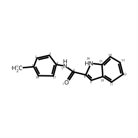 [CH2]c1ccc(NC(=O)c2cc3ccccc3[nH]2)cc1